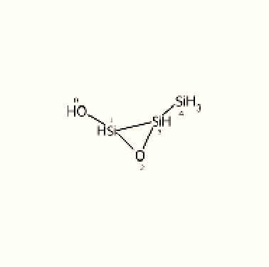 O[SiH]1O[SiH]1[SiH3]